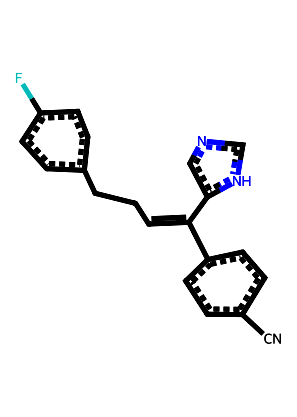 N#Cc1ccc(/C(=C/CCc2ccc(F)cc2)c2cnc[nH]2)cc1